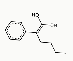 CCCCC(=C(O)O)c1ccccc1